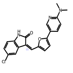 CN(C)c1ccc(-c2ccc(/C=C3\C(=O)Nc4ccc(Cl)cc43)o2)cn1